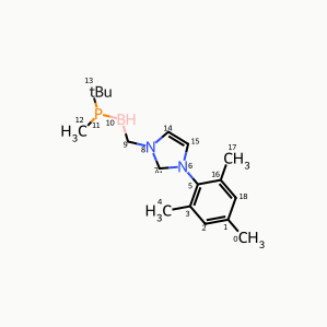 Cc1cc(C)c(N2[C]N(CBP(C)C(C)(C)C)C=C2)c(C)c1